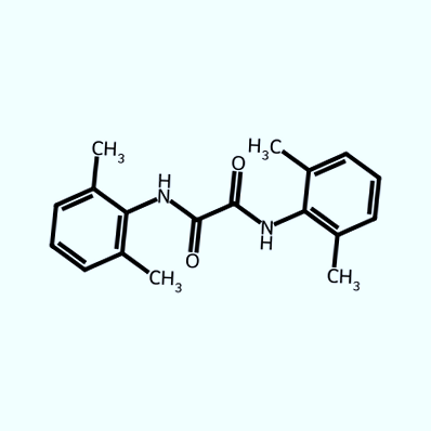 Cc1cccc(C)c1NC(=O)C(=O)Nc1c(C)cccc1C